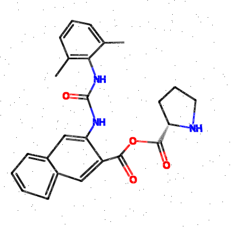 Cc1cccc(C)c1NC(=O)Nc1cc2ccccc2cc1C(=O)OC(=O)[C@@H]1CCCN1